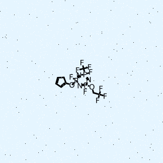 FC(F)(F)COP1(F)=NP(F)(OC2=CC=CC2)=NP(F)(C(F)(F)F)=N1